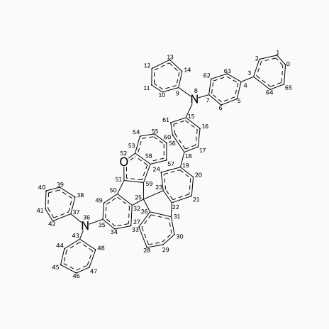 c1ccc(-c2ccc(N(c3ccccc3)c3ccc(-c4ccc5c(c4)C4(c6ccccc6-5)c5ccc(N(c6ccccc6)c6ccccc6)cc5-c5oc6ccccc6c54)cc3)cc2)cc1